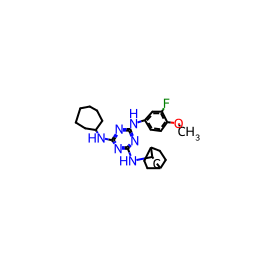 COc1ccc(Nc2nc(NC3CCCCCC3)nc(NC3CC4CCC3CC4)n2)cc1F